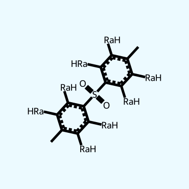 Cc1[c]([RaH])[c]([RaH])c(S(=O)(=O)c2[c]([RaH])[c]([RaH])c(C)[c]([RaH])[c]2[RaH])[c]([RaH])[c]1[RaH]